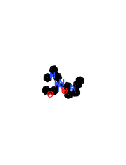 c1ccc(-n2c3ccccc3c3ccc(-c4nc(-c5ccc6oc7ccccc7c6c5)nc(-c5ccc(-n6c7ccccc7c7cc8ccccc8cc76)c6c5oc5ccccc56)n4)cc32)cc1